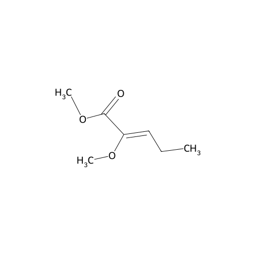 CCC=C(OC)C(=O)OC